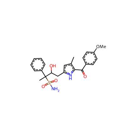 COc1ccc(C(=O)c2[nH]c(CC(O)C(C)(c3ccccc3)S(N)(=O)=O)cc2C)cc1